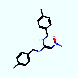 Cc1ccc(CNC(=C[N+](=O)[O-])NCc2ccc(C)cc2)cc1